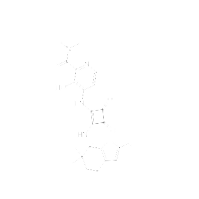 CN(C)C(=O)c1nccc(Nc2c(N[C@@H]3c4oc(Cl)cc4CCC3(C)C)c(=O)c2=O)c1O